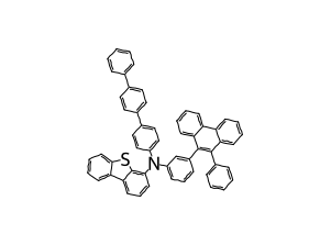 c1ccc(-c2ccc(-c3ccc(N(c4cccc(-c5c(-c6ccccc6)c6ccccc6c6ccccc56)c4)c4cccc5c4sc4ccccc45)cc3)cc2)cc1